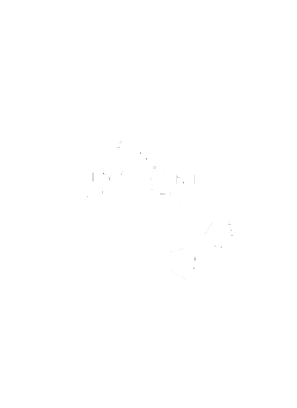 CC(C)[C@H](NC(=O)OCC1c2ccccc2-c2ccccc21)C(=O)N(C)[C@@H](CNC(=O)OC(C)(C)C)C(=O)O